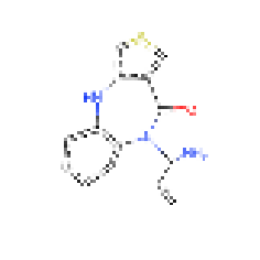 C=CC(N)N1C(=O)c2cscc2Nc2ccccc21